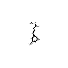 CNC(C)C/C=C/c1cncc(C(F)(F)F)c1